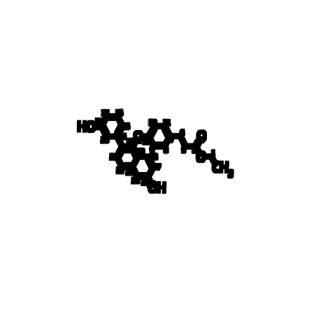 CCOC(=O)CCc1ccc(Oc2c(-c3cccc(O)c3)ccc3cc(O)ccc23)cc1